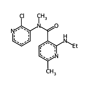 CCNc1nc(C)ccc1C(=O)N(C)c1cccnc1Cl